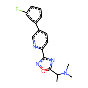 CC(c1nc(-c2ccc(-c3cccc(F)c3)cn2)no1)N(C)C